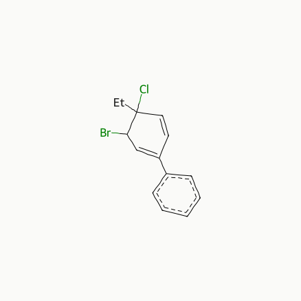 CCC1(Cl)C=CC(c2ccccc2)=CC1Br